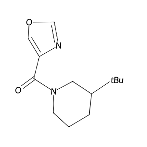 CC(C)(C)C1CCCN(C(=O)c2cocn2)C1